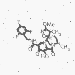 COC1=NO[C@@]2(CC[C@H](C)N3CC2n2cc(C(=O)NCc4c(F)cc(F)cc4F)c(=O)c(O)c2C3=O)C1C